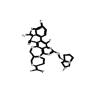 N#Cc1c(N)sc2c(F)ccc(-c3c(Cl)c4c5c(nc(OC[C@@]67CCCN6C[C@H](F)C7)nc5c3F)N3CCC(C(F)F)OCC3CO4)c12